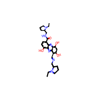 CCN1CCCC1CN=Cc1c(O)cc(O)c2nc3c(C(=O)NCC4CCCN4CC)ccc(O)c3nc12